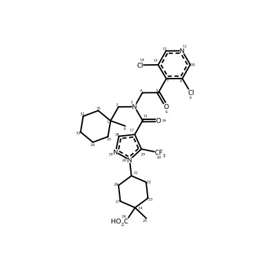 CC1(CN(CC(=O)c2c(Cl)cncc2Cl)C(=O)c2cnn(C3CCC(C)(C(=O)O)CC3)c2C(F)(F)F)CCCCC1